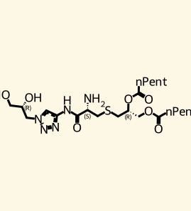 CCCCCC(=O)OC[C@H](CSC[C@@H](N)C(=O)Nc1cn(C[C@@H](O)CO)nn1)OC(=O)CCCCC